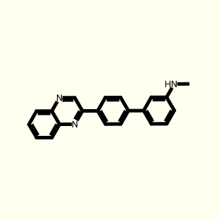 CNc1cccc(-c2ccc(-c3cnc4ccccc4n3)cc2)c1